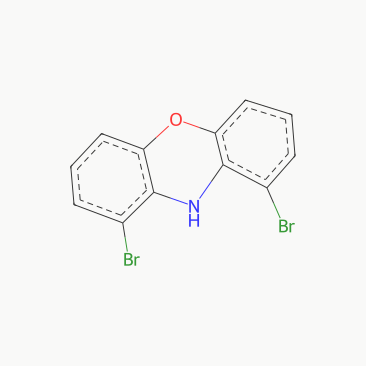 Brc1cccc2c1Nc1c(Br)cccc1O2